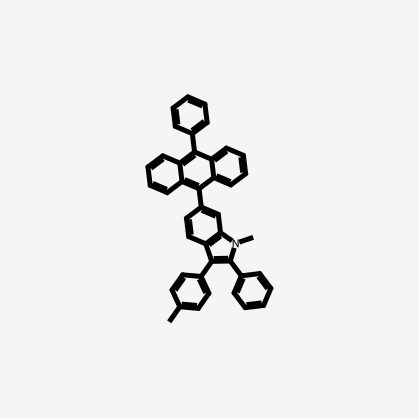 Cc1ccc(-c2c(-c3ccccc3)n(C)c3cc(-c4c5ccccc5c(-c5ccccc5)c5ccccc45)ccc23)cc1